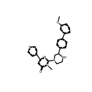 COc1cccc(-c2ccc(C3CN(c4nc(-c5ccncc5)cc(=O)n4C)CCN3)cc2)c1